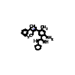 C=C/C(=C\c1cc(C(=N)NC2CCCCC2)c(N)cc1C)C(C)c1ccccc1